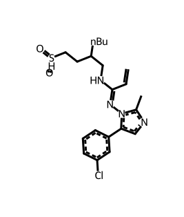 C=C/C(=N\n1c(-c2cccc(Cl)c2)cnc1C)NCC(CCCC)CC[SH](=O)=O